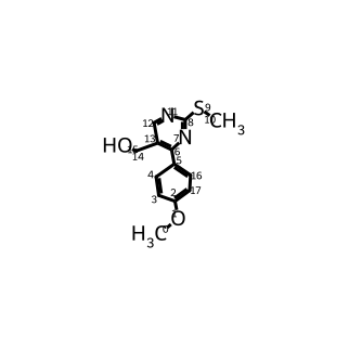 COc1ccc(-c2nc(SC)ncc2CO)cc1